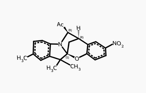 CC(=O)[C@H]1[C@@H]2C[C@@]3(Oc4ccc([N+](=O)[O-])cc42)N1c1ccc(C)cc1C3(C)C